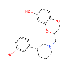 Oc1cccc([C@H]2CCCN(C[C@H]3COc4ccc(O)cc4O3)C2)c1